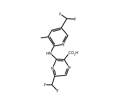 Cc1cc(C(F)F)cnc1Nc1nc(C(F)F)cnc1C(=O)O